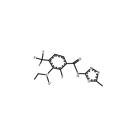 CC[S+]([O-])c1c(C(F)(F)F)ccc(C(=O)Nc2nnc(C)o2)c1F